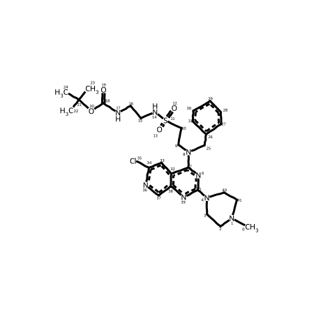 CN1CCN(c2nc(N(CCS(=O)(=O)NCCNC(=O)OC(C)(C)C)Cc3ccccc3)c3cc(Cl)ncc3n2)CC1